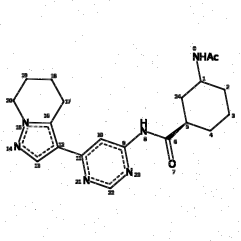 CC(=O)NC1CCC[C@@H](C(=O)Nc2cc(-c3cnn4c3CCCC4)ncn2)C1